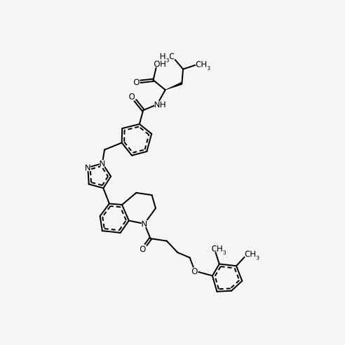 Cc1cccc(OCCCC(=O)N2CCCc3c(-c4cnn(Cc5cccc(C(=O)N[C@H](CC(C)C)C(=O)O)c5)c4)cccc32)c1C